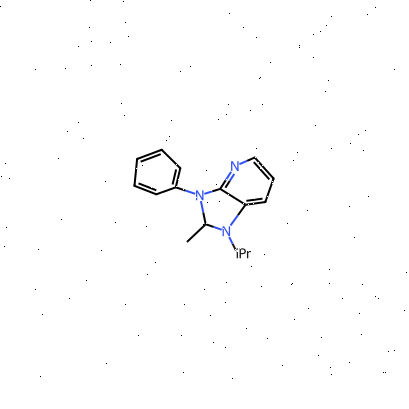 CC(C)N1c2cccnc2N(c2ccccc2)C1C